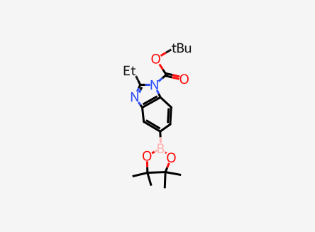 CCc1nc2cc(B3OC(C)(C)C(C)(C)O3)ccc2n1C(=O)OC(C)(C)C